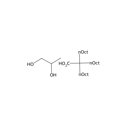 CC(O)CO.CCCCCCCCC(CCCCCCCC)(CCCCCCCC)C(=O)O